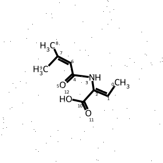 CC=C(NC(=O)C=C(C)C)C(=O)O